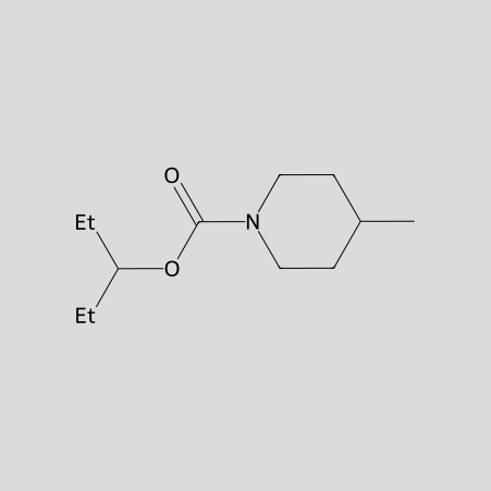 CCC(CC)OC(=O)N1CCC(C)CC1